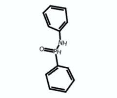 O=[PH](Nc1ccccc1)c1ccccc1